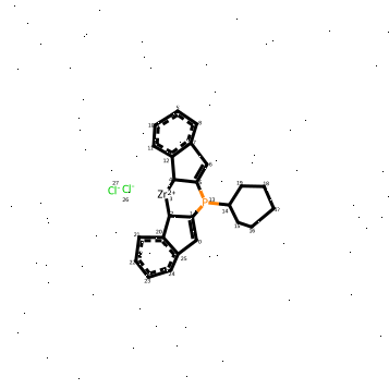 C1=C2[CH]([Zr+2][CH]3C(=Cc4ccccc43)P2C2CCCCC2)c2ccccc21.[Cl-].[Cl-]